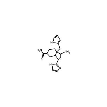 NC(=O)C1CCC(Cc2ncc[nH]2)(C(N)=O)C(Cc2ncc[nH]2)C1